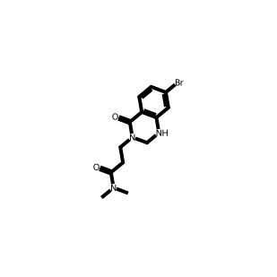 CN(C)C(=O)CCN1CNc2cc(Br)ccc2C1=O